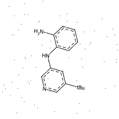 CC(C)(C)c1cncc(Nc2ccccc2N)c1